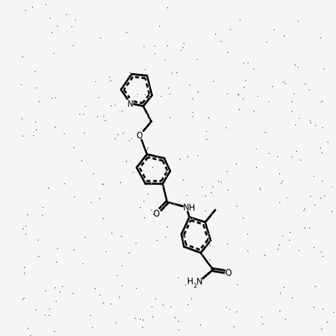 Cc1cc(C(N)=O)ccc1NC(=O)c1ccc(OCc2ccccn2)cc1